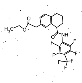 CCOC(=O)Cc1ccc2c(c1)C(C(=O)Nc1c(F)c(F)c(C(F)(F)F)c(F)c1F)CCC2